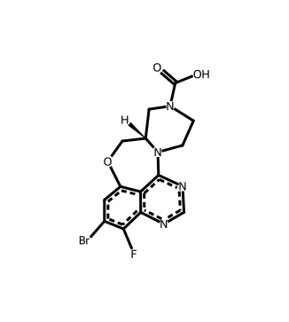 O=C(O)N1CCN2c3ncnc4c(F)c(Br)cc(c34)OC[C@@H]2C1